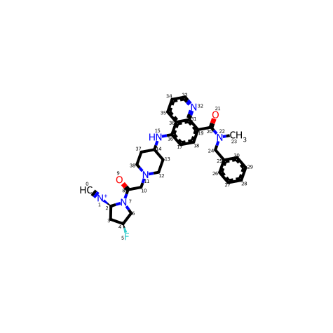 C#[N+][C@@H]1C[C@H](F)CN1C(=O)CN1CCC(Nc2ccc(C(=O)N(C)Cc3ccccc3)c3ncccc23)CC1